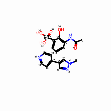 CC(=O)Nc1cccc([As](=O)(O)O)c1O.Cn1cc(-c2ccncc2)cn1